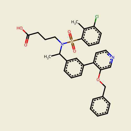 Cc1c(Cl)cccc1S(=O)(=O)N(CCCC(=O)O)C(C)c1cccc(-c2ccncc2OCc2ccccc2)c1